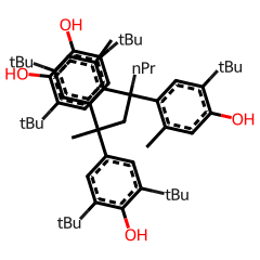 CCCC(CC(C)(c1cc(C(C)(C)C)c(O)c(C(C)(C)C)c1)c1cc(C(C)(C)C)c(O)c(C(C)(C)C)c1)(c1cc(C(C)(C)C)c(O)cc1C)c1cc(C(C)(C)C)c(O)cc1C